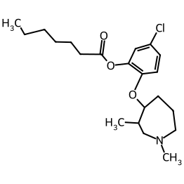 CCCCCCC(=O)Oc1cc(Cl)ccc1OC1CCCN(C)CC1C